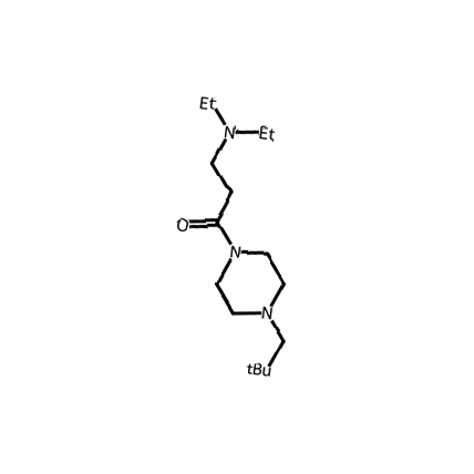 CCN(CC)CCC(=O)N1CCN(CC(C)(C)C)CC1